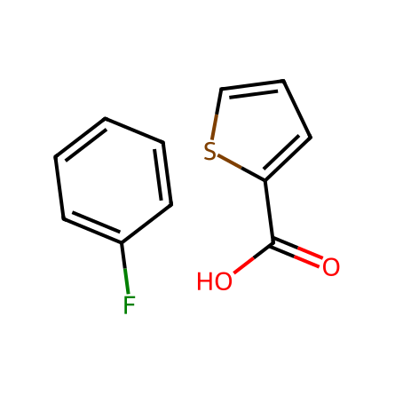 Fc1ccccc1.O=C(O)c1cccs1